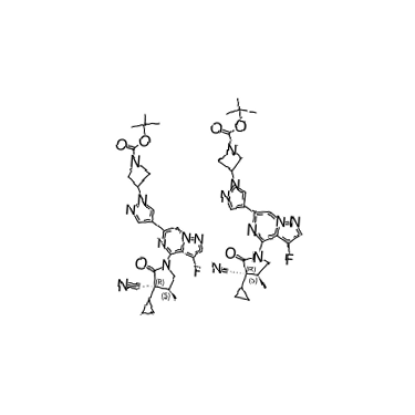 C[C@@H]1CN(c2nc(-c3cnn(C4CN(C(=O)OC(C)(C)C)C4)c3)cn3ncc(F)c23)C(=O)[C@]1(C#N)C1CC1.C[C@@H]1CN(c2nc(-c3cnn(C4CN(C(=O)OC(C)(C)C)C4)c3)cn3ncc(F)c23)C(=O)[C@]1(C#N)C1CC1